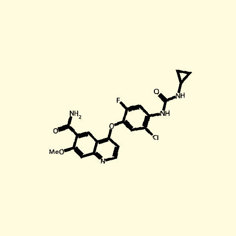 COc1cc2nccc(Oc3cc(Cl)c(NC(=O)NC4CC4)cc3F)c2cc1C(N)=O